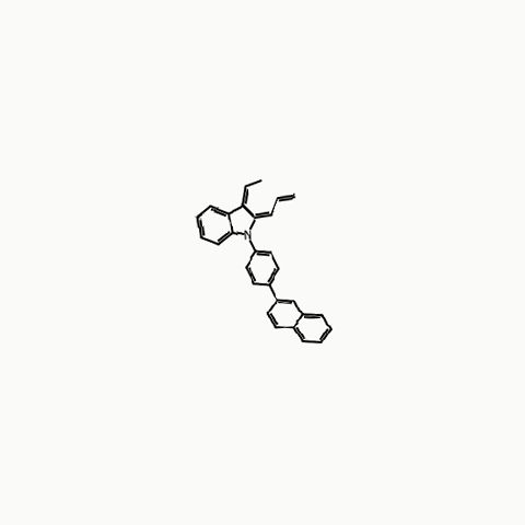 C=C/C=c1\c(=C/C)c2ccccc2n1-c1ccc(-c2ccc3ccccc3c2)cc1